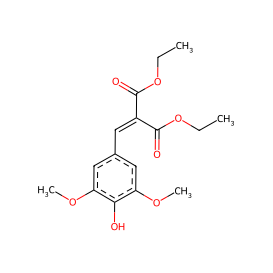 CCOC(=O)C(=Cc1cc(OC)c(O)c(OC)c1)C(=O)OCC